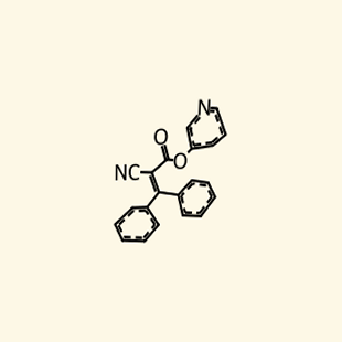 N#CC(C(=O)Oc1cccnc1)=C(c1ccccc1)c1ccccc1